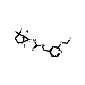 O=C(NCc1ccnc(OCF)c1)N[C@@H]1[C@H]2CCC(F)(F)[C@H]21